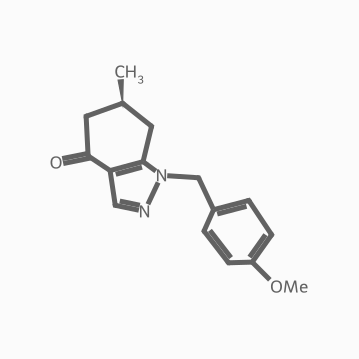 COc1ccc(Cn2ncc3c2C[C@H](C)CC3=O)cc1